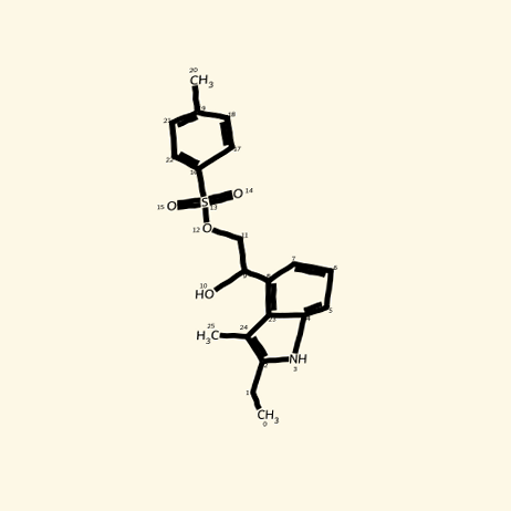 CCc1[nH]c2cccc(C(O)COS(=O)(=O)c3ccc(C)cc3)c2c1C